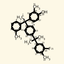 Cc1cccc([C@@](C)(c2ccc(C(C)(C)c3ccc(C)c(F)c3)cc2)c2ccc(O)c(C)c2)c1